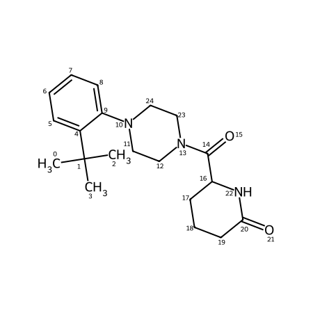 CC(C)(C)c1ccccc1N1CCN(C(=O)C2CCCC(=O)N2)CC1